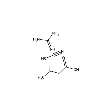 CNCC(=O)O.N#CS.N=C(N)N